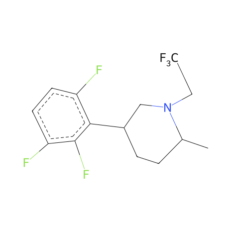 CC1CCC(c2c(F)ccc(F)c2F)CN1CC(F)(F)F